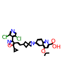 CC(C)Oc1cc(C(=O)O)nc2ccc(N3CC4(CC(C=Cc5c(-c6c(Cl)cncc6Cl)noc5C5CC5)C4)C3)cc12